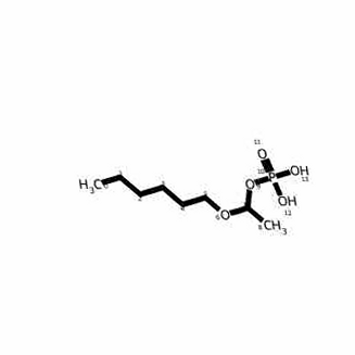 CCCCCCOC(C)OP(=O)(O)O